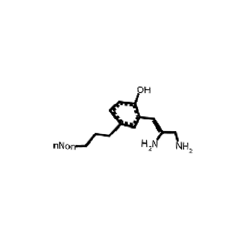 CCCCCCCCCCCCc1ccc(O)c(C=C(N)CN)c1